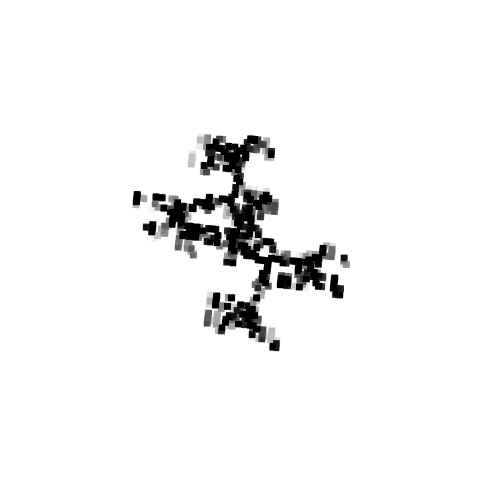 CCO[Si](CCCSSCCC1CC(CC(SSC(CC2CCCCC(CSCC[Si](OCC)(OCC)OCC)C(CCSSCCC[Si](OCC)(OCC)OCC)C2)C(=O)[C@@H](N)Cc2c[nH]cn2)C(=O)[C@@H](N)Cc2c[nH]cn2)CCCCC1CSCC[Si](OCC)(OCC)OCC)(OCC)OCC